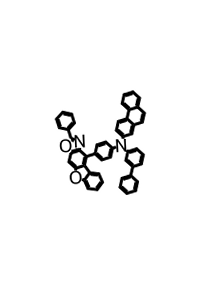 c1ccc(-c2cccc(N(c3ccc(-c4c5nc(-c6ccccc6)oc5cc5oc6ccccc6c45)cc3)c3ccc4c(ccc5ccccc54)c3)c2)cc1